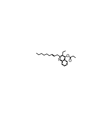 CCCCCC/C=C/Cc1nc2ccccc2c(OC(=O)CC)c1CC